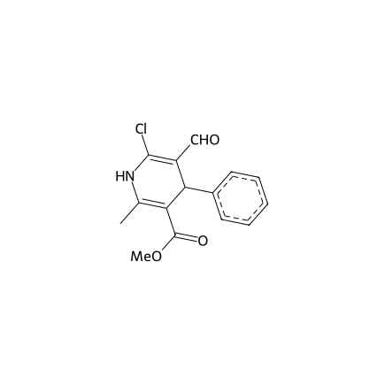 COC(=O)C1=C(C)NC(Cl)=C(C=O)C1c1ccccc1